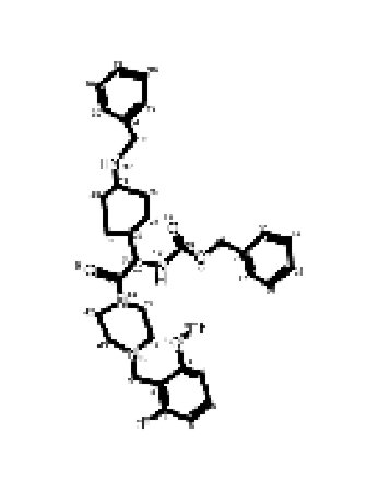 CCOc1cccc(F)c1CN1CCN(C(=O)[C@H](NC(=O)OCc2ccccc2)C2CCC(NCc3ccccc3)CC2)CC1